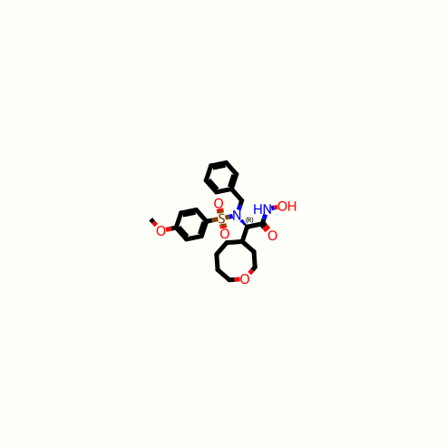 COc1ccc(S(=O)(=O)N(Cc2ccccc2)[C@@H](C(=O)NO)C2CCCCOCC2)cc1